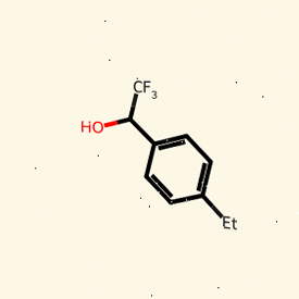 [CH2-][CH+]c1ccc(C(O)C(F)(F)F)cc1